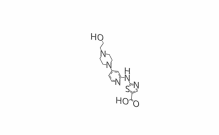 O=C(O)c1cnc(Nc2cc(N3CCN(CCO)CC3)ccn2)s1